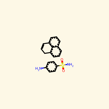 C1=Cc2cccc3cccc(c23)C1.Nc1ccc(S(N)(=O)=O)cc1